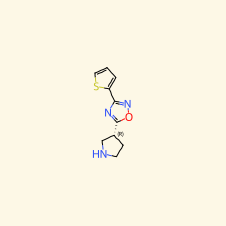 c1csc(-c2noc([C@@H]3CCNC3)n2)c1